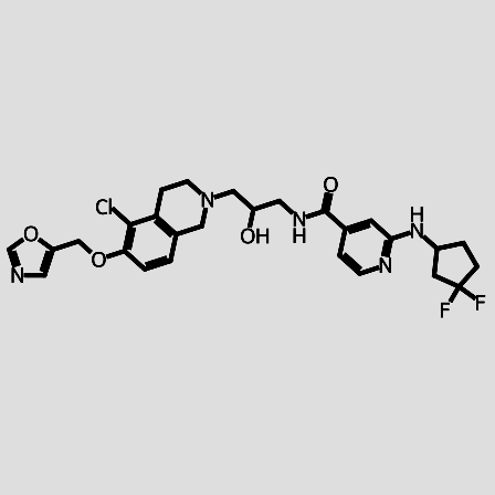 O=C(NCC(O)CN1CCc2c(ccc(OCc3cnco3)c2Cl)C1)c1ccnc(NC2CCC(F)(F)C2)c1